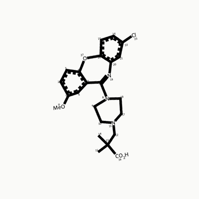 COc1ccc2c(c1)C(N1CCN(CC(C)(C)C(=O)O)CC1)=Nc1cc(Cl)ccc1O2